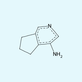 Nc1cncc2c1CCC2